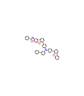 c1ccc(-c2cccc(N(c3ccc(-c4cccc5c4oc4ccccc45)cc3)c3ccc(-c4cccc5c4oc4cc6oc(-c7ccccc7)nc6cc45)cc3)c2)cc1